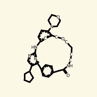 O=C1NCCCCOCc2cc(ccc2N2CCOCC2)Nc2ncc(C3CCCC3)c(n2)-c2ccc1cc2